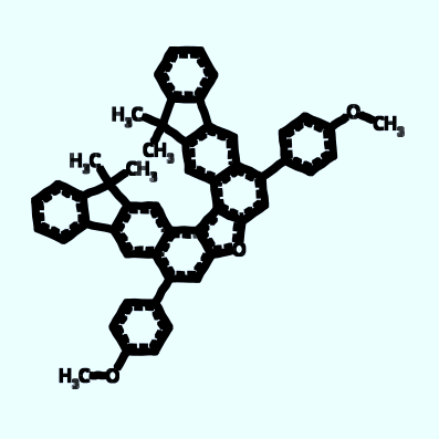 COc1ccc(-c2cc3oc4cc(-c5ccc(OC)cc5)c5cc6c(cc5c4c3c3cc4c(cc23)-c2ccccc2C4(C)C)C(C)(C)c2ccccc2-6)cc1